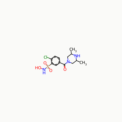 CC1CN(C(=O)c2ccc(Cl)c(S(=O)(=O)NO)c2)CC(C)N1